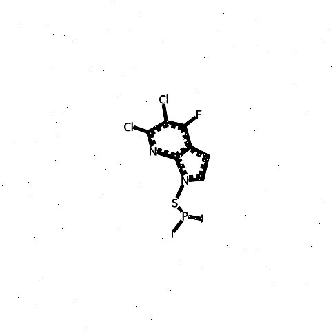 Fc1c(Cl)c(Cl)nc2c1ccn2SP(I)I